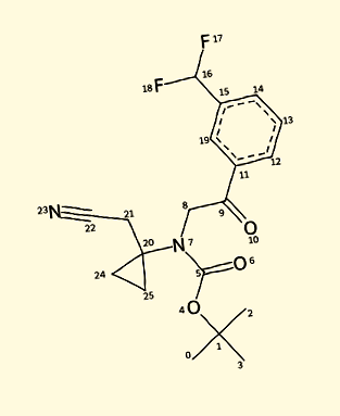 CC(C)(C)OC(=O)N(CC(=O)c1cccc(C(F)F)c1)C1(CC#N)CC1